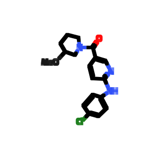 COC1CCCN(C(=O)c2ccc(Nc3ccc(Cl)cc3)nc2)C1